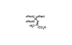 CCCCCC(C=C(C)C(=O)O)(CCCCC)CCCCC